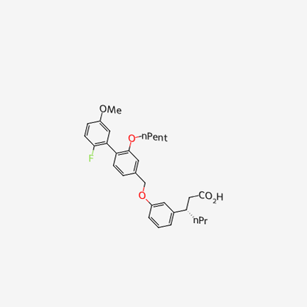 CCCCCOc1cc(COc2cccc([C@@H](CCC)CC(=O)O)c2)ccc1-c1cc(OC)ccc1F